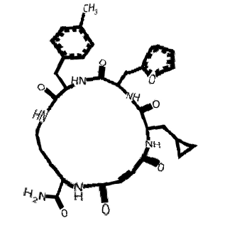 Cc1ccc(CC2NC(=O)C(Cc3ccco3)NC(=O)C(CC3CC3)NC(=O)C=CC(=O)NC(C(N)=O)CCCNC2=O)cc1